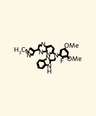 COc1cc(OC)c(F)c(N(Cc2nc3ccccc3[nH]2)c2ccc3ncc(-c4cnn(C)c4)nc3n2)c1